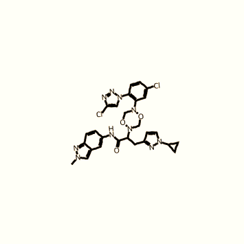 Cn1cc2cc(NC(=O)C(Cc3ccn(C4CC4)n3)N3CON(c4cc(Cl)ccc4-n4cc(Cl)nn4)CO3)ccc2n1